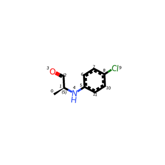 C[C@@H]([C]=O)Nc1ccc(Cl)cc1